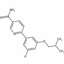 CC(C)COc1cc(F)cc(-c2ccc(C(N)=O)cn2)c1